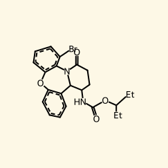 CCC(CC)OC(=O)NC1CCC(=O)N2c3c(Br)cccc3Oc3ccccc3C12